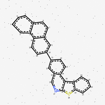 c1ccc2c(c1)ccc1cc(-c3ccc4c(cnc5sc6ccccc6c54)c3)ccc12